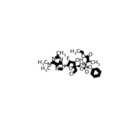 CCOC(=O)[C@@H](C)N[P@@](=O)(OC[C@@]1(CCl)O[C@@H](n2cnc3c(N(C)C)nc(C)nc32)[C@@H](F)[C@@H]1O)Oc1ccccc1